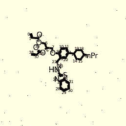 C=CC(=O)OCC(COc1ccc(C2CCC(CCC)CC2)cc1/C=N/Nc1nc2ccccc2s1)OC(=O)C=C